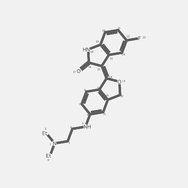 CCN(CC)CCNc1ccc2c(c1)COC2=C1C(=O)Nc2ccc(F)cc21